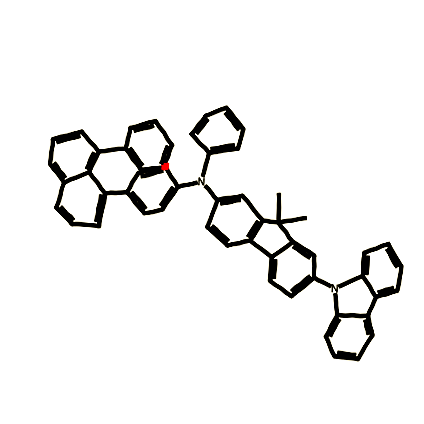 CC1(C)c2cc(N(c3ccccc3)c3ccc(-c4cccc5cccc(-c6ccccc6)c45)cc3)ccc2-c2ccc(-n3c4ccccc4c4ccccc43)cc21